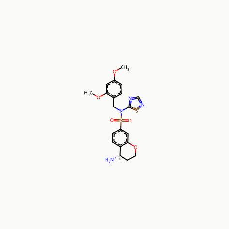 COc1ccc(CN(c2ncns2)S(=O)(=O)c2ccc3c(c2)OCC[C@@H]3N)c(OC)c1